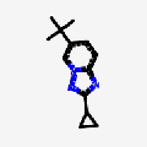 CC(C)(C)c1ccc2nc(C3CC3)nn2c1